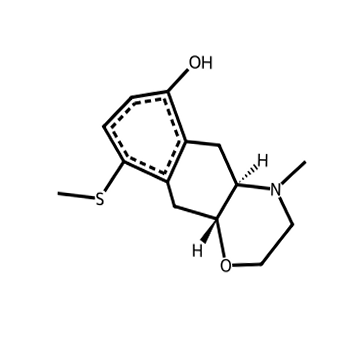 CSc1ccc(O)c2c1C[C@H]1OCCN(C)[C@@H]1C2